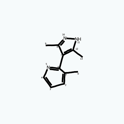 Cc1cccnc1-c1c(C)n[nH]c1C